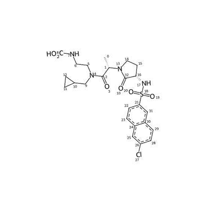 C[C@@H](C(=O)N(CCNC(=O)O)CC1CC1)N1CC[C@H](NS(=O)(=O)c2ccc3cc(Cl)ccc3c2)C1=O